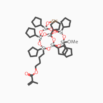 C=C(C)C(=O)OCCCC[Si]1(C2CCCC2)O[Si]2(C3CCCC3)O[Si](OC)(C3CCCC3)O[Si]3(C4CCCC4)O[Si](OS)(C4CCCC4)O[Si](C4CCCC4)(O1)O[Si](C1CCCC1)(O2)O3